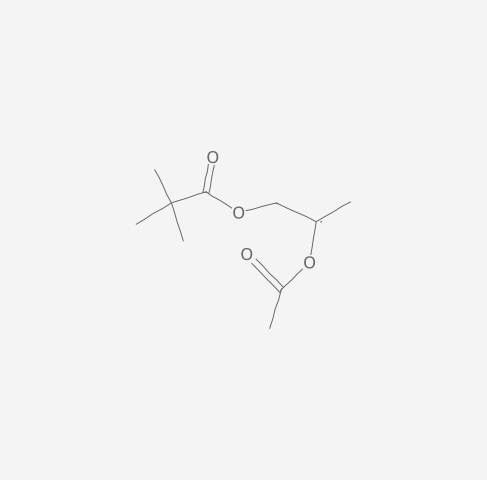 C[C](COC(=O)C(C)(C)C)OC(C)=O